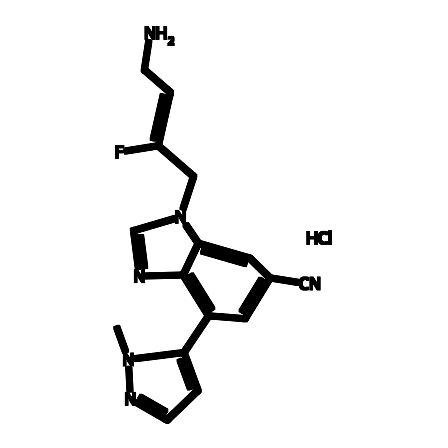 Cl.Cn1nccc1-c1cc(C#N)cc2c1ncn2CC(F)=CCN